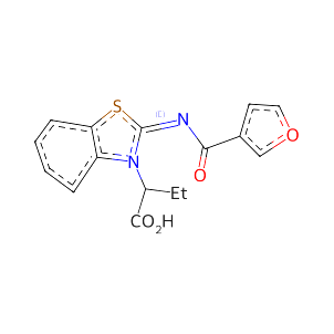 CCC(C(=O)O)n1/c(=N\C(=O)c2ccoc2)sc2ccccc21